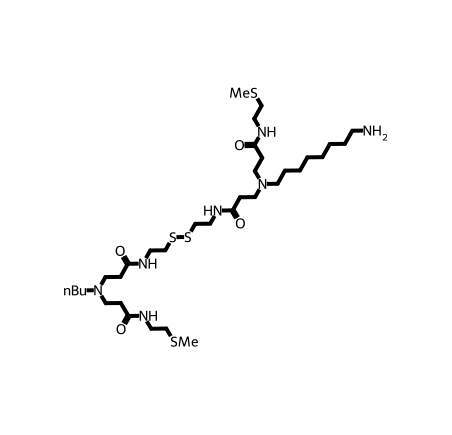 CCCCN(CCC(=O)NCCSC)CCC(=O)NCCSSCCNC(=O)CCN(CCCCCCCCN)CCC(=O)NCCSC